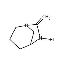 C=C1N2CCCC(C2)N1CC